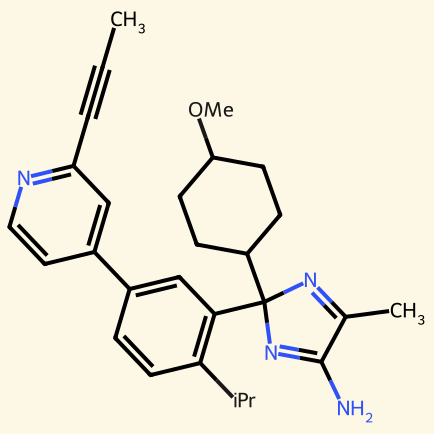 CC#Cc1cc(-c2ccc(C(C)C)c(C3(C4CCC(OC)CC4)N=C(C)C(N)=N3)c2)ccn1